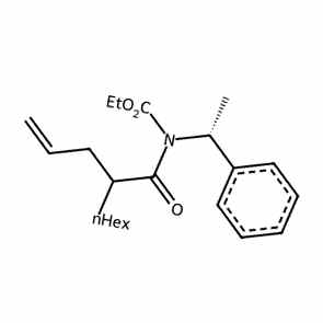 C=CCC(CCCCCC)C(=O)N(C(=O)OCC)[C@H](C)c1ccccc1